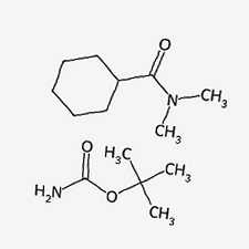 CC(C)(C)OC(N)=O.CN(C)C(=O)C1CCCCC1